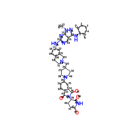 Cc1cccc(C)c1Nc1nn(C(C)C)c2nc(Nc3ccc4c(c3)CN(CC3CCN(c5ccc6c(c5)C(=O)N(C5CCC(=O)NC5=O)C6=O)CC3)CC4)ncc12